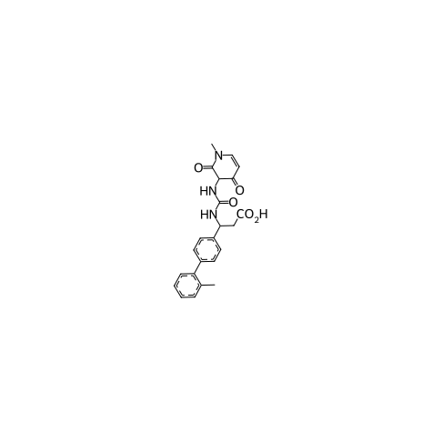 Cc1ccccc1-c1ccc(C(CC(=O)O)NC(=O)NC2C(=O)C=CN(C)C2=O)cc1